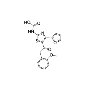 COc1ccccc1CC(=O)c1sc(NC(=O)O)nc1-c1ccco1